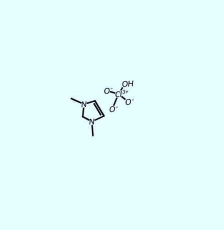 CN1C=CN(C)C1.[O-][Cl+3]([O-])([O-])O